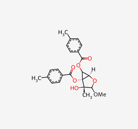 COC1O[C@@H]2C(OC(=O)c3ccc(C)cc3)[C@]2(OC(=O)c2ccc(C)cc2)[C@@]1(C)O